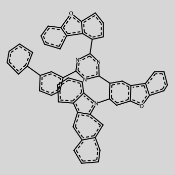 c1ccc(-c2cccc(-c3nc(-c4cc5c(cc4-n4c6ccccc6c6cc7ccccc7cc64)oc4ccccc45)nc(-c4cccc5oc6ccccc6c45)n3)c2)cc1